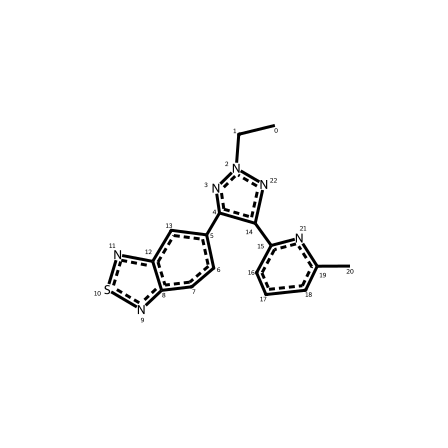 CCn1nc(-c2ccc3nsnc3c2)c(-c2cccc(C)n2)n1